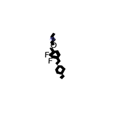 C=C[C@H]1CC[C@H](CCc2ccc(COC/C=C/C)c(F)c2F)CC1